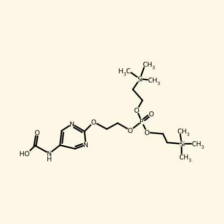 C[Si](C)(C)CCOP(=O)(OCCOc1ncc(NC(=O)O)cn1)OCC[Si](C)(C)C